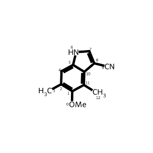 COc1c(C)cc2[nH]cc(C#N)c2c1C